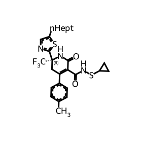 CCCCCCCc1cnc([C@]2(C(F)(F)F)CC(c3ccc(C)cc3)=C(C(=O)NSC3CC3)C(=O)N2)s1